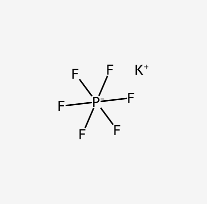 F[P-](F)(F)(F)(F)F.[K+]